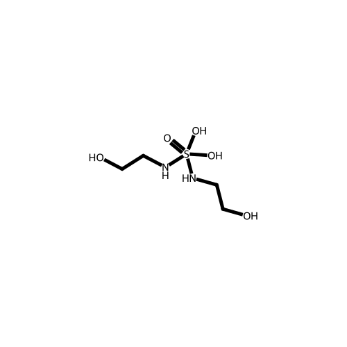 O=S(O)(O)(NCCO)NCCO